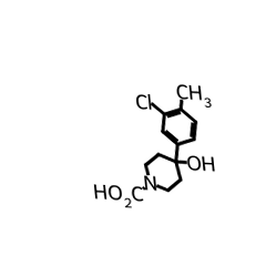 Cc1ccc(C2(O)CCN(C(=O)O)CC2)cc1Cl